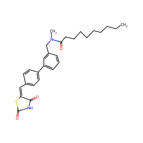 CCCCCCCCCC(=O)N(C)Cc1cccc(-c2ccc(/C=C3/SC(=O)NC3=O)cc2)c1